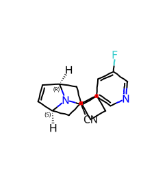 N#CC1(c2cncc(F)c2)C[C@H]2C=C[C@@H](C1)N2C1CCC1